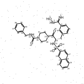 N=C(NO)c1cccc(C[C@H](NS(=O)(=O)c2ccc3ccccc3c2)C(=O)N2CCN(C(=O)NCc3ccccc3)CC2)c1